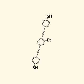 CCc1cc(C#Cc2ccc(S)cc2)ccc1C#Cc1ccc(S)cc1